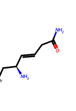 CC(C)C[C@H](N)/C=C/CC(N)=O